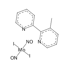 Cc1cccnc1-c1ccccn1.O=[N][Mo]([I])([I])[N]=O